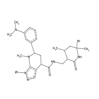 CC1CC(C)(C(C)C)NC(=O)C1CNC(=O)C1CC(c2cccc(N(C)C)c2)N(C)c2c1cnn2C(C)C